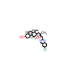 C[C@H](CCc1ncc2cc(Cl)ccc2n1)[C@H]1CC[C@H]2[C@@H]3CC[C@@H]4C[C@H](O)CC[C@]4(C)C3C[C@H](O)[C@]12C